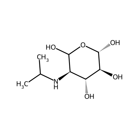 CC(C)N[C@H]1C(O)O[C@H](O)[C@@H](O)[C@@H]1O